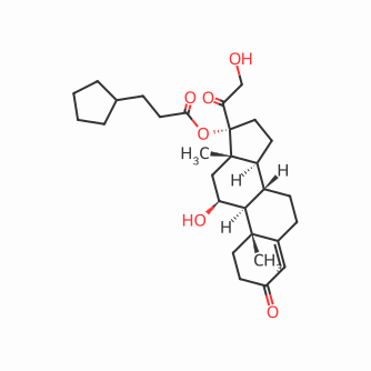 C[C@]12CCC(=O)C=C1CC[C@@H]1[C@@H]2[C@@H](O)C[C@@]2(C)[C@H]1CC[C@]2(OC(=O)CCC1CCCC1)C(=O)CO